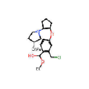 CCOC(O)c1ccc(OC2CCCC2N2CC[C@@H](OC)C2)cc1CCl